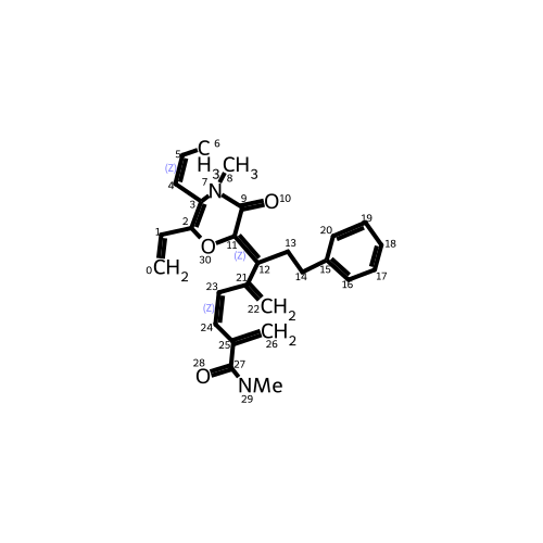 C=CC1=C(/C=C\C)N(C)C(=O)/C(=C(\CCc2ccccc2)C(=C)/C=C\C(=C)C(=O)NC)O1